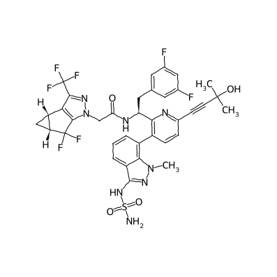 Cn1nc(NS(N)(=O)=O)c2cccc(-c3ccc(C#CC(C)(C)O)nc3[C@H](Cc3cc(F)cc(F)c3)NC(=O)Cn3nc(C(F)(F)F)c4c3C(F)(F)[C@@H]3C[C@H]43)c21